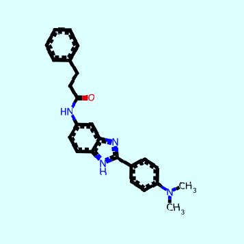 CN(C)c1ccc(-c2nc3cc(NC(=O)CCc4ccccc4)ccc3[nH]2)cc1